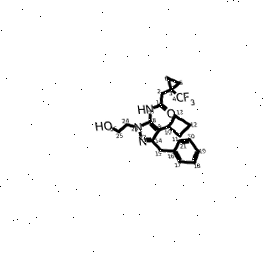 O=C(CC1(C(F)(F)F)CC1)Nc1c(C2CCC2)c(Cc2ccccc2)nn1CCO